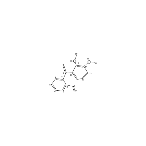 C=Cc1ccccc1C(=C)c1cccc(OC)c1OC